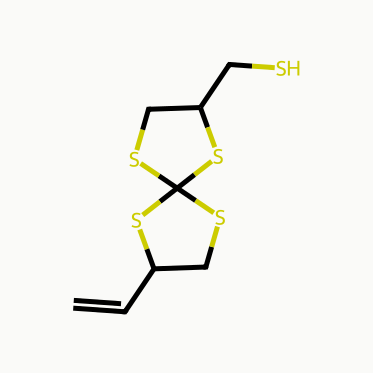 C=CC1CSC2(SCC(CS)S2)S1